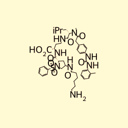 Cc1ccccc1NC(=O)Nc1ccc(CC(=O)N(C)[C@@H](CC(C)C)C(=O)NCC[C@H](NC(=O)[C@@H]2C[C@@H](NC(=O)CCCCCN)CN2S(=O)(=O)c2ccccc2)C(=O)O)cc1